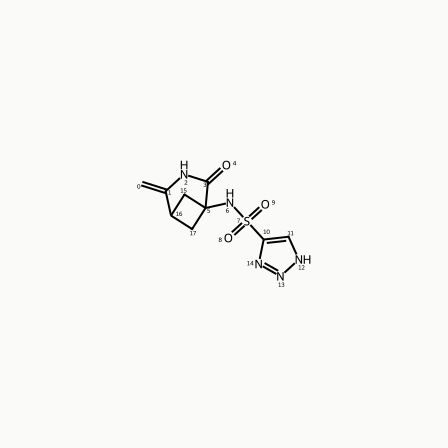 C=C1NC(=O)C2(NS(=O)(=O)c3c[nH]nn3)CC1C2